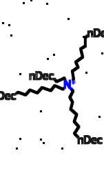 CCCCCCCCCCCCCCCCCC[N+](CCCCCCCCCCCC)(CCCCCCCCCCCCCCCCCC)CCCCCCCCCCCCCCCCCC